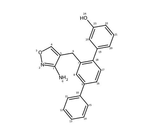 Nc1nocc1Cc1cc(-c2ccccc2)ccc1-c1cccc(O)c1